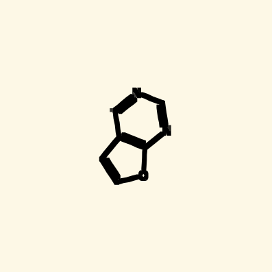 [c]1ncnc2occc12